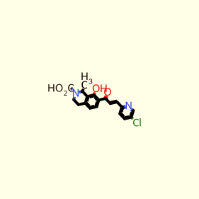 CC1c2c(ccc(C(=O)/C=C/c3ccc(Cl)cn3)c2O)CCN1C(=O)O